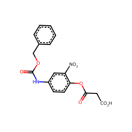 O=C(O)CC(=O)Oc1ccc(NC(=O)OCc2ccccc2)cc1[N+](=O)[O-]